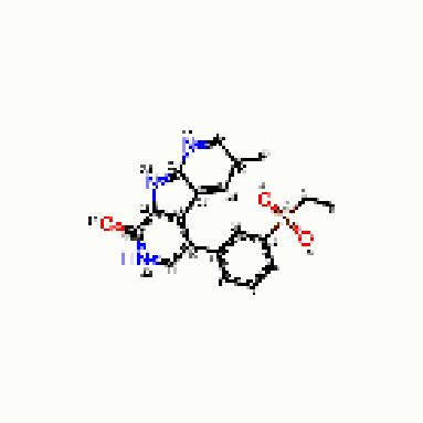 CCS(=O)(=O)c1cccc(-c2c[nH]c(=O)c3c2C2=CC(C)C=NC2=N3)c1